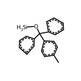 Cc1ccc(C(O[SiH3])(c2ccccc2)c2ccccc2)cc1